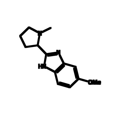 COc1ccc2[nH]c(C3CCCN3C)nc2c1